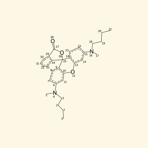 CCCCN(C)c1ccc2c(c1)Oc1cc(N(C)CCCC)ccc1C21OC(=O)c2ccccc21